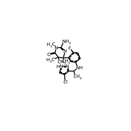 CC(Nc1ccc(F)c([C@@]2(C)N=C(N)N(C)C(=O)C2(C)C)c1)c1n[nH]cc1Cl